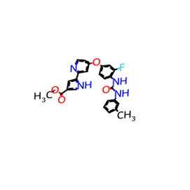 COC(=O)c1c[nH]c(-c2cc(Oc3ccc(NC(=O)Nc4cccc(C)c4)c(F)c3)ccn2)c1